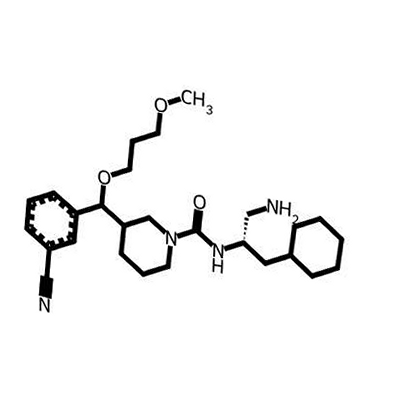 COCCCOC(c1cccc(C#N)c1)C1CCCN(C(=O)N[C@H](CN)CC2CCCCC2)C1